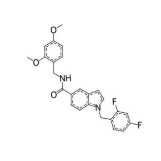 COc1ccc(CNC(=O)c2ccc3c(ccn3Cc3ccc(F)cc3F)c2)c(OC)c1